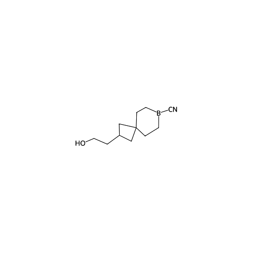 N#CB1CCC2(CC1)CC(CCO)C2